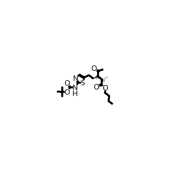 CCCCOC(=O)[C@@H](C)[C@@H](CCc1cnc(NC(=O)OC(C)(C)C)s1)C(C)=O